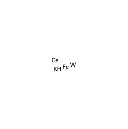 [Ce].[Fe].[KH].[W]